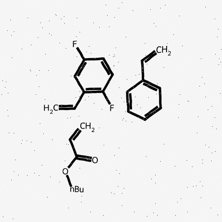 C=CC(=O)OCCCC.C=Cc1cc(F)ccc1F.C=Cc1ccccc1